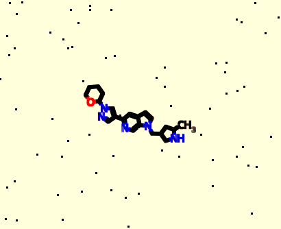 CC1CC(Cn2ccc3cc(-c4cnn(C5CCCCO5)c4)ncc32)CN1